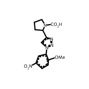 COc1ccc([N+](=O)[O-])cc1-n1cc(C2CCCN2C(=O)O)nn1